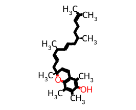 CC(C)=CCC[C@@H](C)C/C=C/[C@@H](C)/C=C/C[C@]1(C)C=Cc2c(C)c(O)c(C)c(C)c2O1